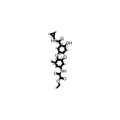 CCOC(=O)C(=O)Nc1cc(C)c(Oc2ccc(O)c(C(=O)NC3CC3)c2)c(Cl)c1